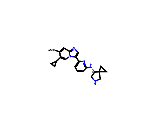 COc1cc2ncc(-c3cccc(N[C@H]4CNCC45CC5)n3)n2cc1C1CC1